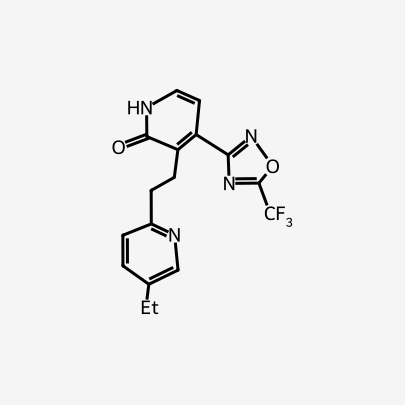 CCc1ccc(CCc2c(-c3noc(C(F)(F)F)n3)cc[nH]c2=O)nc1